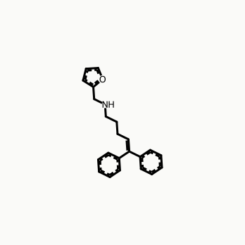 C(CCCNCc1ccco1)=C(c1ccccc1)c1ccccc1